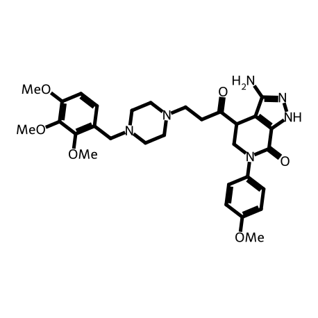 COc1ccc(N2CC(C(=O)CCN3CCN(Cc4ccc(OC)c(OC)c4OC)CC3)c3c(N)n[nH]c3C2=O)cc1